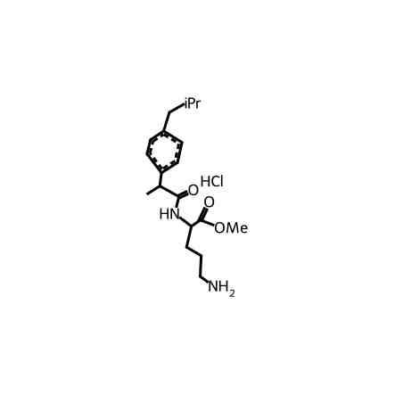 COC(=O)C(CCCN)NC(=O)C(C)c1ccc(CC(C)C)cc1.Cl